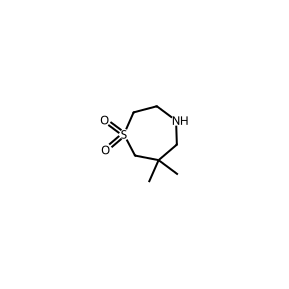 CC1(C)CNCCS(=O)(=O)C1